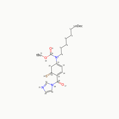 CCCCCCCCCCCCCCCCN(C(=O)OC(C)(C)C)C1=CC=C(C(=O)n2ccnc2)C(=S)C1